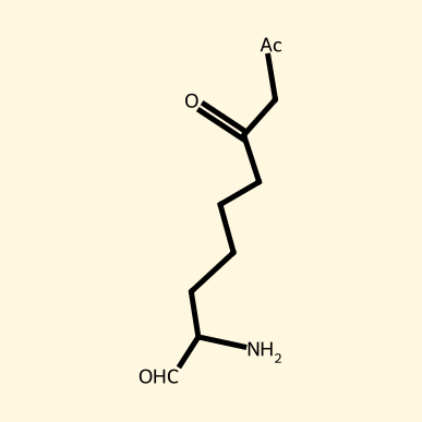 CC(=O)CC(=O)CCCCC(N)C=O